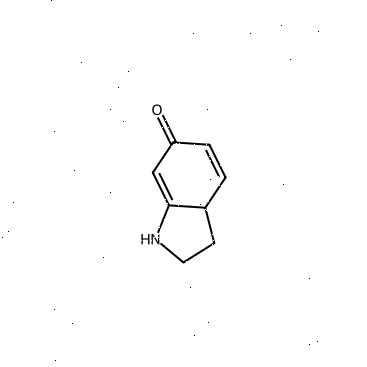 O=C1C=CC2CCNC2=C1